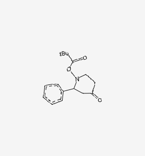 CC(C)(C)C(=O)ON1CCC(=O)CC1c1ccccc1